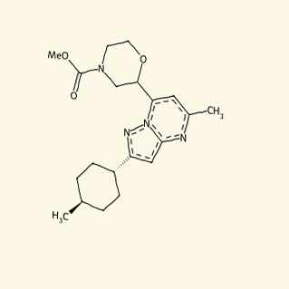 COC(=O)N1CCOC(c2cc(C)nc3cc([C@H]4CC[C@H](C)CC4)nn23)C1